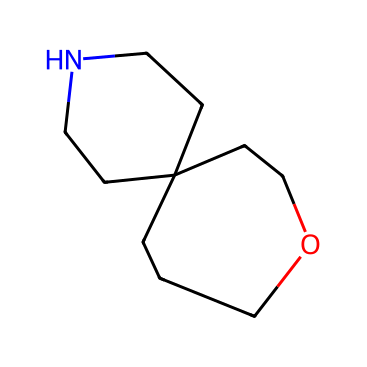 C1COCCC2(C1)CCNCC2